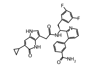 NC(=O)c1cccc(-c2cccnc2[C@H](Cc2cc(F)cc(F)c2)NC(=O)Cc2c[nH]c3cc(C4CC4)c(=O)[nH]c23)c1